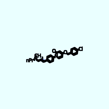 CCCN(C)C/C=C/c1ccc(-n2ccc(OCc3ccc(Cl)cc3)cc2=O)cc1